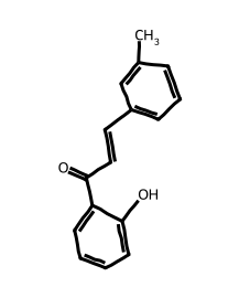 Cc1cccc(/C=C/C(=O)c2ccccc2O)c1